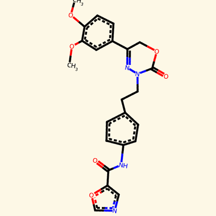 COc1ccc(C2=NN(CCc3ccc(NC(=O)c4cnco4)cc3)C(=O)OC2)cc1OC